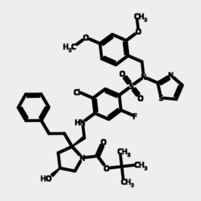 COc1ccc(CN(c2nccs2)S(=O)(=O)c2cc(Cl)c(NC[C@]3(CCc4ccccc4)C[C@H](O)CN3C(=O)OC(C)(C)C)cc2F)c(OC)c1